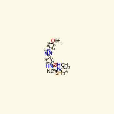 Cc1ccccc1N/C(S)=C(/C#N)C(=O)Nc1ccc(-c2ncn(-c3ccc(OC(F)(F)F)cc3)n2)cc1